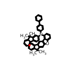 CC1(C)c2ccccc2-c2ccc(N(c3ccc(-c4ccccc4)cc3)c3cccc4oc5cc6c(cc5c34)-c3ccccc3C6(C)C)cc21